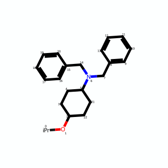 CC(C)OC1CCC(N(Cc2ccccc2)Cc2ccccc2)CC1